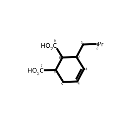 CC(C)CC1C=CCC(C(=O)O)C1C(=O)O